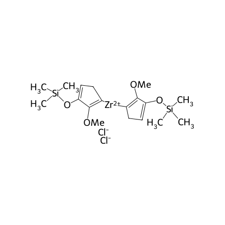 COC1=[C]([Zr+2][C]2=C(OC)C(O[Si](C)(C)C)=CC2)CC=C1O[Si](C)(C)C.[Cl-].[Cl-]